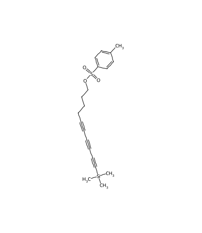 Cc1ccc(S(=O)(=O)OCCCCC#CC#CC#C[Si](C)(C)C)cc1